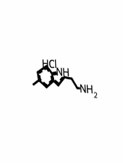 Cc1ccc2[nH]c(CCN)cc2c1.Cl